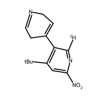 [2H]c1nc([N+](=O)[O-])cc(C(C)(C)C)c1C1=CCN=CC1